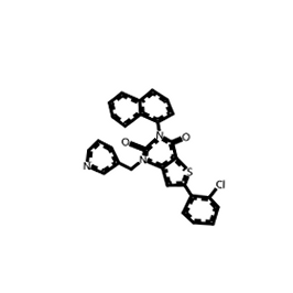 O=c1c2sc(-c3ccccc3Cl)cc2n(Cc2cccnc2)c(=O)n1-c1cccc2ccccc12